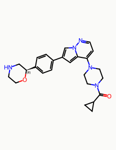 O=C(C1CC1)N1CCN(c2ccnn3cc(-c4ccc([C@@H]5CNCCO5)cc4)cc23)CC1